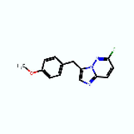 COc1ccc(Cc2cnc3ccc(Cl)nn23)cc1